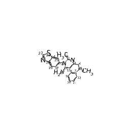 CC1=NC(C[C@H](C)c2ccccc2)=CC(N)N1c1ccc2ncsc2c1